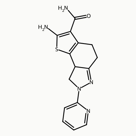 NC(=O)c1c(N)sc2c1CCC1=NN(c3ccccn3)CC12